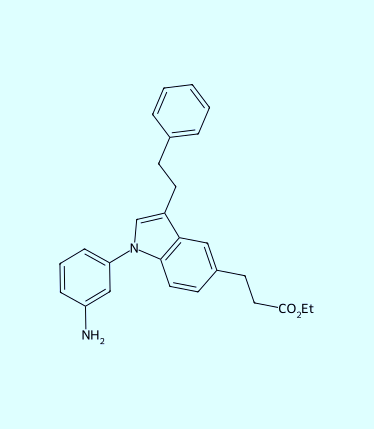 CCOC(=O)CCc1ccc2c(c1)c(CCc1ccccc1)cn2-c1cccc(N)c1